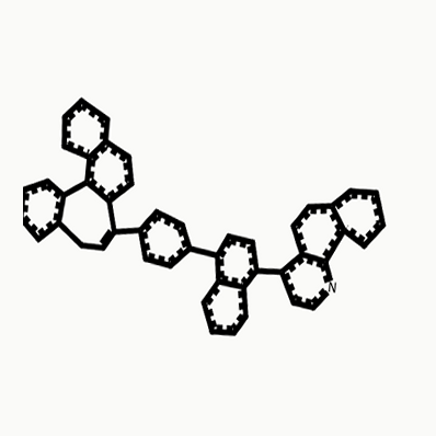 C1=C(c2ccc(-c3ccc(-c4ccnc5c4ccc4ccccc45)c4ccccc34)cc2)c2ccc3ccccc3c2-c2ccccc2C1